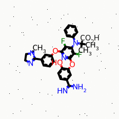 CN1CCN=C1c1cccc(Oc2nc(Oc3cc(C(=N)N)ccc3O)c(F)c(N(c3ccccc3)C(C)(C)C(=O)O)c2F)c1